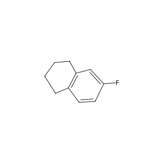 Fc1ccc2c(c1)CCCC2